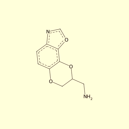 NCC1COc2ccc3ncoc3c2O1